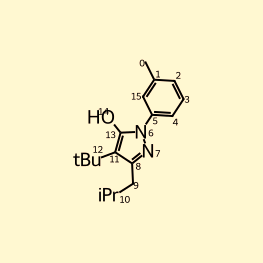 Cc1cccc(-n2nc(CC(C)C)c(C(C)(C)C)c2O)c1